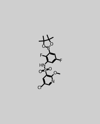 COc1ncc(Cl)cc1S(=O)(=O)Nc1cc(F)cc(B2OC(C)(C)C(C)(C)O2)c1F